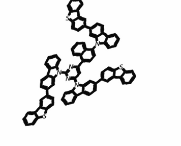 c1ccc2c(c1)sc1ccc(-c3ccc4c5ccccc5n(-c5cc(-c6ccc(-n7c8ccccc8c8ccc(-c9ccc%10sc%11ccccc%11c%10c9)cc87)c7ccccc67)nc(-n6c7ccccc7c7ccc(-c8ccc9sc%10ccccc%10c9c8)cc76)n5)c4c3)cc12